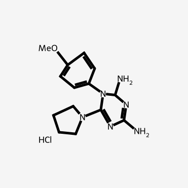 COc1ccc(N2C(N3CCCC3)=NC(N)=NC2N)cc1.Cl